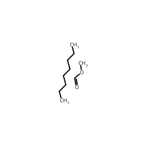 CCCCCCCC.COC=O